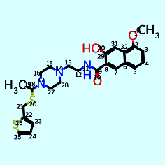 COc1cccc2cc(C(=O)NCCN3CCN(C(C)SCc4cccs4)CC3)c(O)cc12